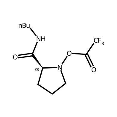 CCCCNC(=O)[C@@H]1CCCN1OC(=O)C(F)(F)F